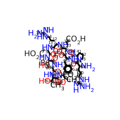 CC[C@H](C)[C@H](NC(=O)[C@H](CC(=O)O)NC(=O)[C@H](CCCNC(=N)N)NC(=O)[C@H](CCC(=O)O)NC(=O)[C@H](Cc1ccccc1)NC(=O)[C@@H]1CCCN1C(=O)[C@@H](N)CCCNC(=N)N)C(=O)N[C@@H](CO)C(=O)N[C@H](C(=O)N[C@H](C(=O)O)[C@@H](C)O)[C@@H](C)O